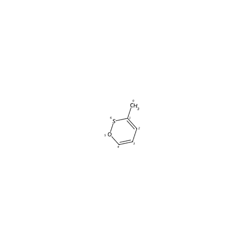 CC1=CC=COS1